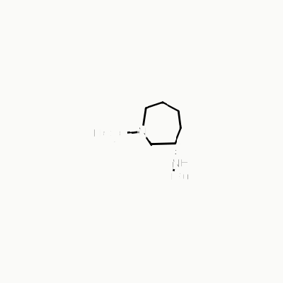 CC(C)(C)N[C@H]1CCCCN(C(=O)O)C1